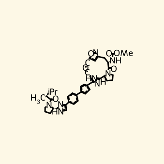 COC(=O)N[C@H]1Cc2cc(on2)COCc2[nH]c(nc2-c2ccc(-c3ccc(-c4c[nH]c([C@@H]5CCCN5C(=O)[C@@H](C)C(C)C)n4)cc3)cc2)[C@@H]2CCCN2C1=O